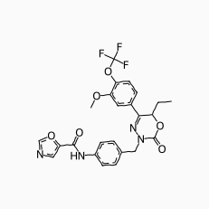 CCC1OC(=O)N(Cc2ccc(NC(=O)c3cnco3)cc2)N=C1c1ccc(OC(F)(F)F)c(OC)c1